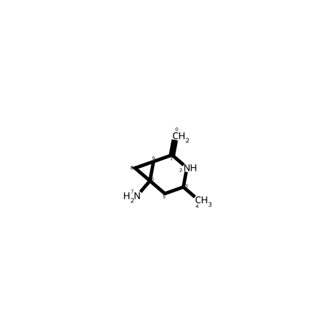 C=C1NC(C)CC2(N)CC12